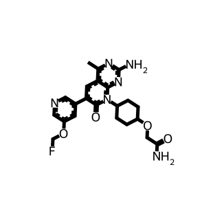 Cc1nc(N)nc2c1cc(-c1cncc(OCF)c1)c(=O)n2C1CCC(OCC(N)=O)CC1